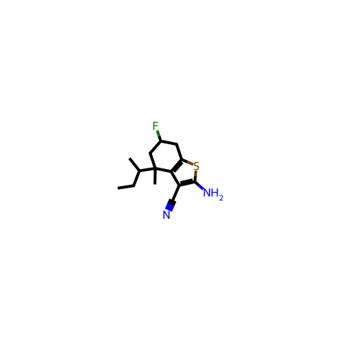 CCC(C)C1(C)CC(F)Cc2sc(N)c(C#N)c21